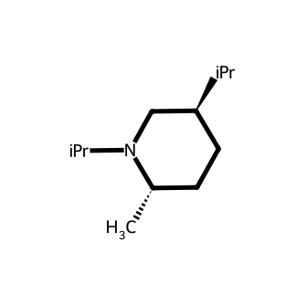 CC(C)[C@H]1CC[C@H](C)N(C(C)C)C1